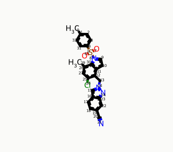 Cc1ccc(S(=O)(=O)n2ccc3c(Cn4cc5ccc(C#N)cc5n4)c(Cl)cc(C)c32)cc1